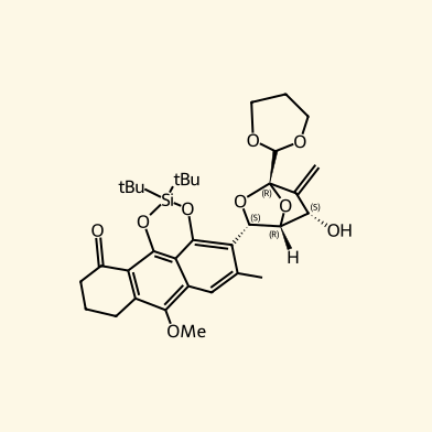 C=C1[C@H](O)[C@H]2O[C@]1(C1OCCCO1)O[C@H]2c1c(C)cc2c(OC)c3c(c4c2c1O[Si](C(C)(C)C)(C(C)(C)C)O4)C(=O)CCC3